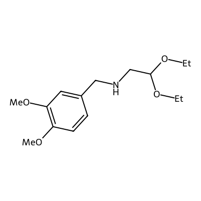 CCOC(CNCc1ccc(OC)c(OC)c1)OCC